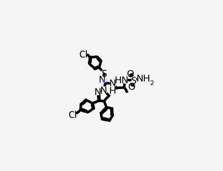 CC(CN/C(=N\Sc1ccc(Cl)cc1)N1CC(c2ccccc2)C(c2ccc(Cl)cc2)=N1)NS(N)(=O)=O